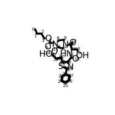 CCCCOC(=O)N1CCN(C(=O)C(CO)NC(=O)c2nc(-c3ccccc3)sc2C=CC(=O)O)CC1